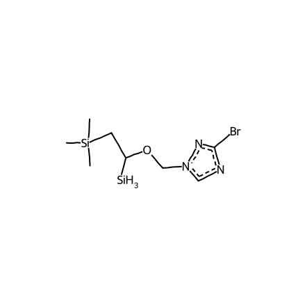 C[Si](C)(C)CC([SiH3])OCn1cnc(Br)n1